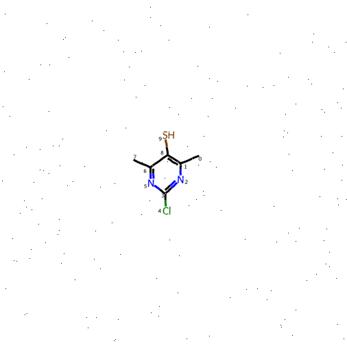 Cc1nc(Cl)nc(C)c1S